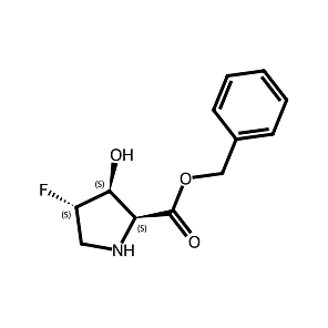 O=C(OCc1ccccc1)[C@H]1NC[C@H](F)[C@H]1O